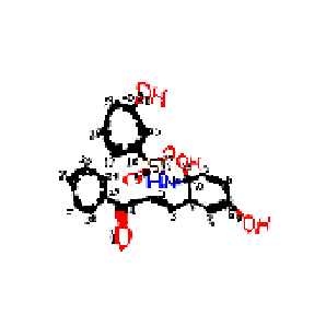 O=C(C=CC1C=C(O)C=CC1(O)NS(=O)(=O)c1cccc(O)c1)c1ccccc1